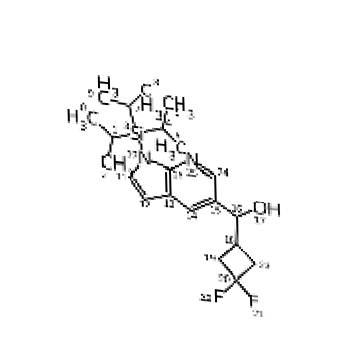 CC(C)[Si](C(C)C)(C(C)C)n1ccc2cc(C(O)C3CC(F)(F)C3)cnc21